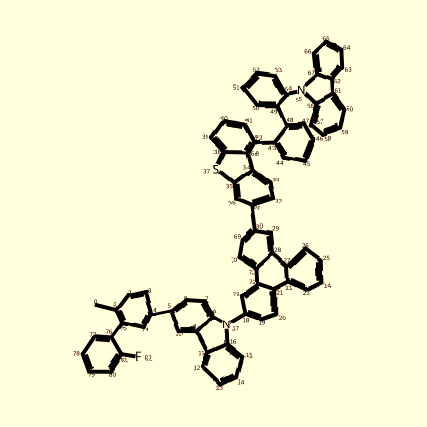 Cc1ccc(-c2ccc3c(c2)c2ccccc2n3-c2ccc3c4ccccc4c4cc(-c5ccc6c(c5)sc5cccc(-c7ccccc7-c7ccccc7-n7c8ccccc8c8ccccc87)c56)ccc4c3c2)cc1-c1ccccc1F